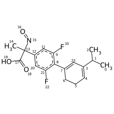 CC(C)C1=CCCC(c2c(F)cc(C(C)(N=O)C(=O)O)cc2F)=C1